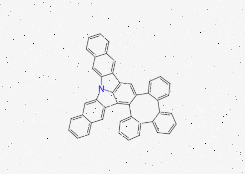 c1ccc2c(c1)-c1ccccc1-c1cc3c4cc5ccccc5cc4n4c5cc6ccccc6cc5c(c1-c1ccccc1-2)c34